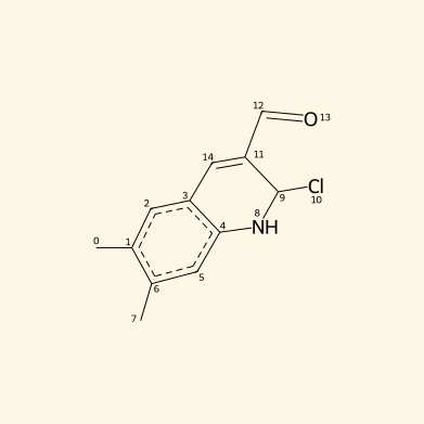 Cc1cc2c(cc1C)NC(Cl)C(C=O)=C2